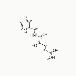 O=C(O)/C=C/C(=O)C(=O)NCc1ccccc1